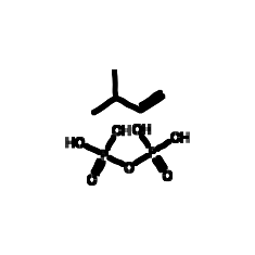 C=CC(C)C.O=P(O)(O)OP(=O)(O)O